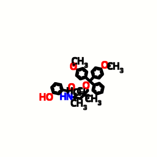 COc1ccc(C(OCC(C)(C)CC(C)(C)NC(=O)c2cccc(O)c2)(c2ccccc2)c2ccc(OC)cc2)cc1